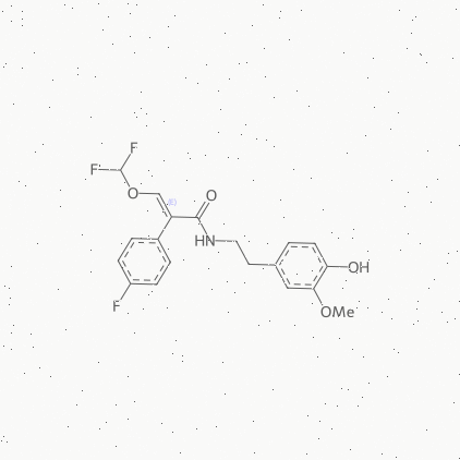 COc1cc(CCNC(=O)/C(=C/OC(F)F)c2ccc(F)cc2)ccc1O